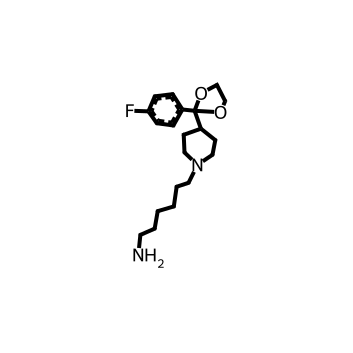 NCCCCCCN1CCC(C2(c3ccc(F)cc3)OCCO2)CC1